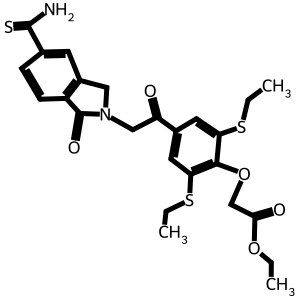 CCOC(=O)COc1c(SCC)cc(C(=O)CN2Cc3cc(C(N)=S)ccc3C2=O)cc1SCC